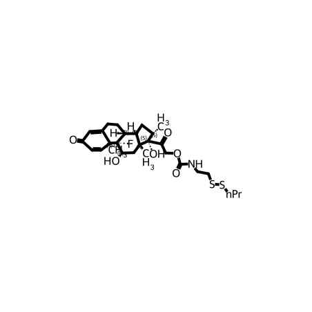 CCCSSCCNC(=O)OCC(=O)[C@]1(O)[C@@H](C)C[C@@H]2[C@H]3CCC4=CC(=O)C=C[C@@]4(C)[C@]3(F)[C@H](O)C[C@]21C